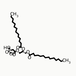 CCCCCCCCCCCCCC(=O)OC[C@H](COC(=O)CP(=O)(O)O)OC(=O)CCCCCCCCCCCCC